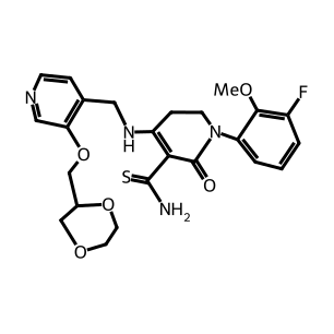 COc1c(F)cccc1N1CCC(NCc2ccncc2OCC2COCCO2)=C(C(N)=S)C1=O